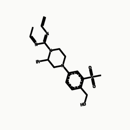 C=C/N=C(\N=C/C)N1CCN(c2ccc(CO)c(S(C)(=O)=O)c2)CC1C(C)C